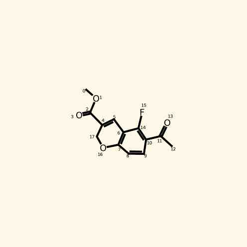 COC(=O)C1=Cc2c(ccc(C(C)=O)c2F)OC1